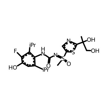 CC(C)c1cc(O)c(F)c(C(C)C)c1NC(=O)N=S(C)(=O)c1cnc(C(C)(O)CO)s1